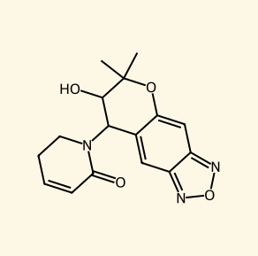 CC1(C)Oc2cc3nonc3cc2C(N2CCC=CC2=O)C1O